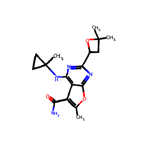 Cc1oc2nc(C3CC(C)(C)O3)nc(NC3(C)CC3)c2c1C(N)=O